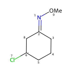 CON=C1CCC[C](Cl)C1